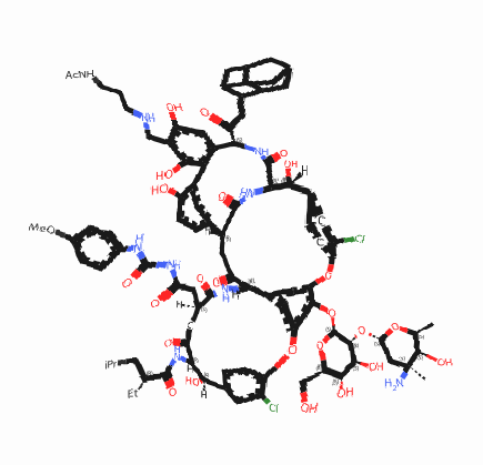 CC[C@H](CC(C)C)C(=O)N[C@H]1C(=O)C[C@@H](CC(=O)NC(=O)Nc2ccc(OC)cc2)C(=O)N[C@H]2C(=O)C[C@H]3C(=O)N[C@H](C(=O)N[C@H](C(=O)CC4C5CC6CC(C5)CC4C6)c4cc(O)c(CNCCCNC(C)=O)c(O)c4-c4cc3ccc4O)[C@H](O)c3ccc(c(Cl)c3)Oc3cc2cc(c3O[C@@H]2O[C@H](CO)[C@@H](O)[C@H](O)[C@H]2O[C@H]2C[C@](C)(N)[C@H](O)[C@H](C)O2)Oc2ccc(cc2Cl)[C@H]1O